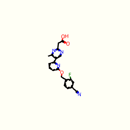 Cc1nc(CC(=O)O)ncc1-c1cccc(OCc2ccc(C#N)cc2F)n1